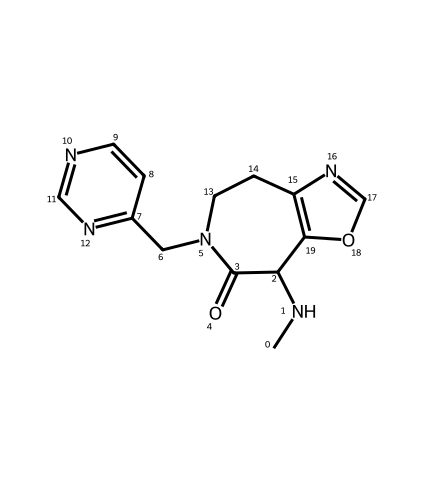 CNC1C(=O)N(Cc2ccncn2)CCc2ncoc21